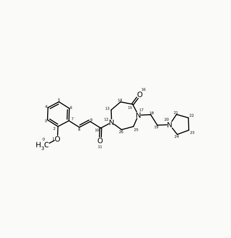 COc1ccccc1C=CC(=O)N1CCC(=O)N(CCN2CCCC2)CC1